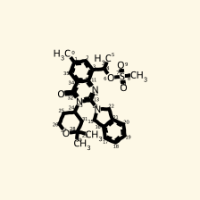 Cc1cc(C(C)OS(C)(=O)=O)c2nc(N3Cc4ccccc4C3)n(C3CCOC(C)(C)C3)c(=O)c2c1